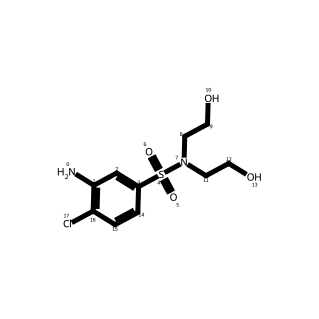 Nc1cc(S(=O)(=O)N(CCO)CCO)ccc1Cl